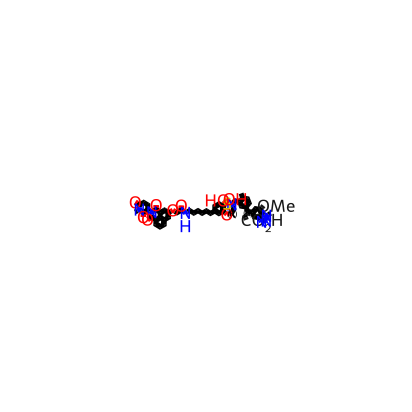 COc1cc([C@@H](CC(=O)O)c2ccc(C)c(CN3C[C@@H](C)Oc4cc(CCCCCCNC(=O)COc5cc6c7c(cccc7c5)C(=O)N(C5CCC(=O)N(C)C5=O)C6=O)ccc4S3(O)O)c2)cc2nnn(C)c12